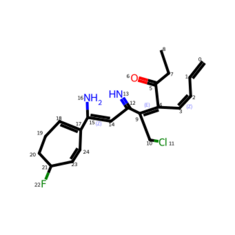 C=C/C=C\C(C(=O)CC)=C(/CCl)C(=N)/C=C(\N)C1=CCCC(F)C=C1